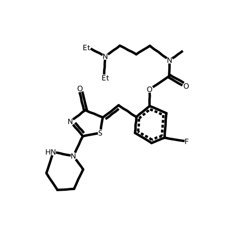 CCN(CC)CCCN(C)C(=O)Oc1cc(F)ccc1/C=C1\SC(N2CCCCN2)=NC1=O